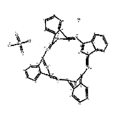 O=S(=O)(Cl)Cl.[Ni].c1ccc2c(c1)-c1nc-2nc2[nH]c(nc3nc(nc4[nH]c(n1)c1ccccc41)-c1ccccc1-3)c1ccccc21